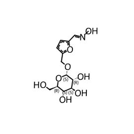 OC[C@H]1O[C@H](OCc2ccc(C=NO)o2)[C@H](O)[C@@H](O)[C@@H]1O